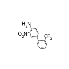 Nc1ccc(-c2ccccc2C(F)(F)F)cc1[N+](=O)[O-]